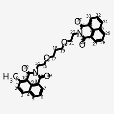 Cc1ccc2cccc3c2c1C(=O)N(CCOCCCOCCN1C(=O)c2cccc4cccc(c24)C1=O)C3=O